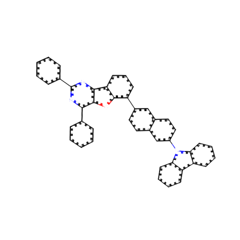 c1ccc(-c2nc(-c3ccccc3)c3oc4c(-c5ccc6cc(-n7c8ccccc8c8ccccc87)ccc6c5)cccc4c3n2)cc1